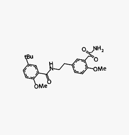 COc1ccc(C(C)(C)C)cc1C(=O)NCCc1ccc(OC)c(S(N)(=O)=O)c1